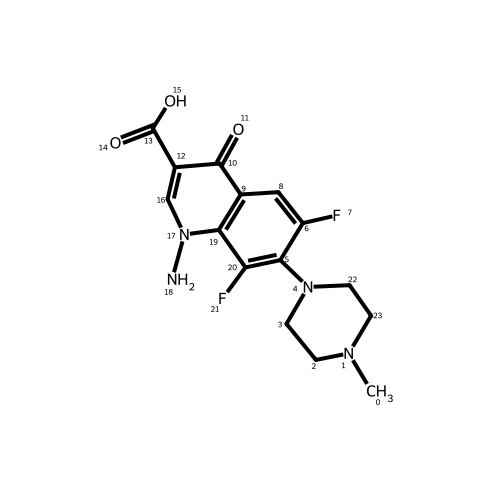 CN1CCN(c2c(F)cc3c(=O)c(C(=O)O)cn(N)c3c2F)CC1